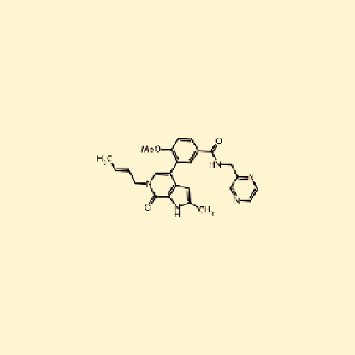 CC=CCn1cc(-c2cc(C(=O)NCc3cnccn3)ccc2OC)c2cc(C)[nH]c2c1=O